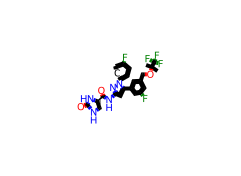 CC(C)(OCc1cc(F)cc(-c2cc(NC(=O)[C@H]3CNC(=O)N3)nn2-c2ccc(F)cc2)c1)C(F)(F)F